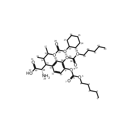 CCCCCOC(=O)Oc1ccc(C(C(C)C(C)OC(=O)OC2CCCCC2)[C@H](N)C(=O)O)cc1OC(=O)OCCCCC